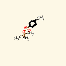 Cc1ccc(S(=O)(=O)OS(C)(C)C)cc1